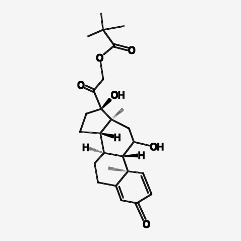 CC(C)(C)C(=O)OCC(=O)[C@@]1(O)CC[C@H]2[C@@H]3CCC4=CC(=O)C=C[C@]4(C)[C@H]3C(O)C[C@@]21C